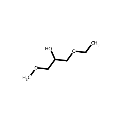 CCOCC(O)COC